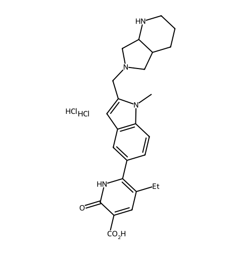 CCc1cc(C(=O)O)c(=O)[nH]c1-c1ccc2c(c1)cc(CN1CC3CCCNC3C1)n2C.Cl.Cl